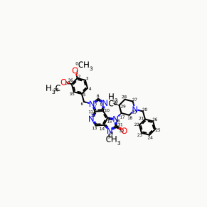 COc1ccc(Cn2cnc3c2ncc2c3n([C@@H]3CN(Cc4ccccc4)CC[C@@H]3C)c(=O)n2C)cc1OC